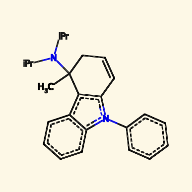 CC(C)N(C(C)C)C1(C)CC=Cc2c1c1ccccc1n2-c1ccccc1